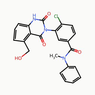 CN(C(=O)c1ccc(Cl)c(-n2c(=O)[nH]c3cccc(CO)c3c2=O)c1)c1ccccc1